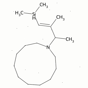 CC(=C[SiH](C)C)C(C)N1CCCCCCCCCC1